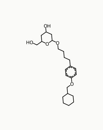 OCC1CC(O)CC(OCCCCc2ccc(OCC3CCCCC3)cc2)O1